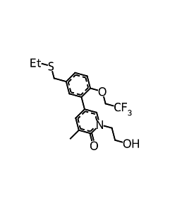 CCSCc1ccc(OCC(F)(F)F)c(-c2cc(C)c(=O)n(CCO)c2)c1